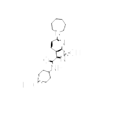 CN1CCC(NC(=O)c2nn(C)c3nc(N4CCCCCC4)ccc23)CC1